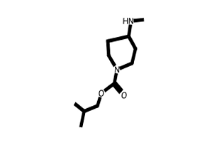 CNC1CCN(C(=O)OCC(C)C)CC1